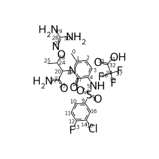 Cc1ccc(NS(=O)(=O)c2ccc(F)c(Cl)c2)c(=O)n1C(C(N)=O)C(C)ON=C(N)N.O=C(O)C(F)(F)F